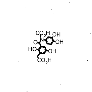 O=C(O)Cc1cc(O)cc(C(=O)N(CC(=O)O)c2ccc(O)c(O)c2)c1O